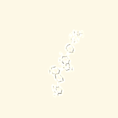 Cc1nn2c(-c3ccnc4cc(-c5ccn(C)n5)ccc34)cnc2cc1-c1ccc(N2CCNCC2)cc1